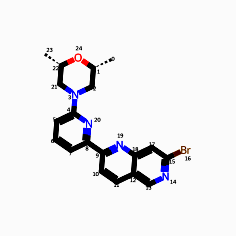 C[C@@H]1CN(c2cccc(-c3ccc4cnc(Br)cc4n3)n2)C[C@H](C)O1